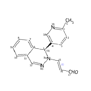 Cc1ccc([C@@H]2c3ccccc3C=NN2/C=C/C=O)cn1